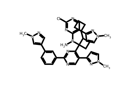 Cn1cc(-c2cccc(-c3ncc(-c4ccn(C)n4)c(C4(N(N)c5nc(Cl)ncc5-c5ccn(C)n5)CCC4C4CCC4)n3)c2)cn1